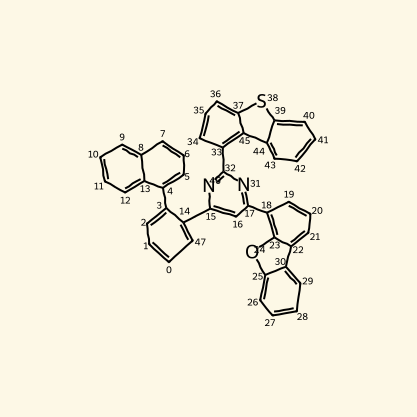 c1ccc(-c2cccc3ccccc23)c(-c2cc(-c3cccc4c3oc3ccccc34)nc(-c3cccc4sc5ccccc5c34)n2)c1